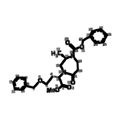 COC(=O)[C@H](CCOCc1ccccc1)N1C[C@@H](C)N(C(=O)OCc2ccccc2)CCC1=O